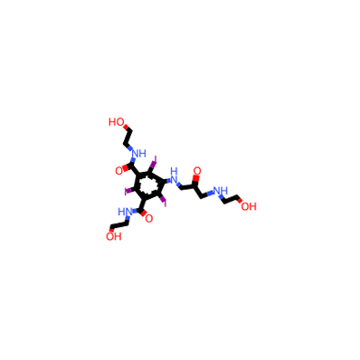 O=C(CNCCO)CNc1c(I)c(C(=O)NCCO)c(I)c(C(=O)NCCO)c1I